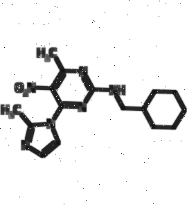 Cc1nc(NCC2CCCCC2)nc(-n2ccnc2C)c1[N+](=O)[O-]